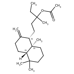 C=C1CC[C@H]2C(C)(C)CCC[C@]2(C)[C@H]1CCC(C)(CC)OC(C)=O